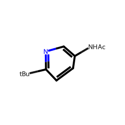 CC(=O)Nc1ccc(C(C)(C)C)nc1